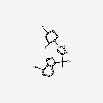 CCC(O)(c1cn(-c2ccc(F)cc2F)nn1)c1ccc2c(N)ncnn12